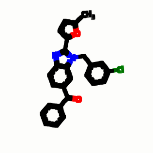 Cc1ccc(-c2nc3ccc(C(=O)c4ccccc4)cc3n2Cc2cccc(Cl)c2)o1